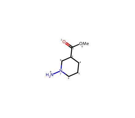 COC(=O)C1CCCN(N)C1